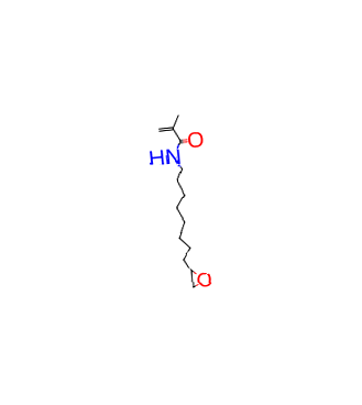 C=C(C)C(=O)NCCCCCCCCC1CO1